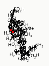 CSCC[C@H](NC(=O)[C@H](C)NC(=O)[C@H](CCCNC(=N)N)NC(=O)[C@H](CCC(=O)O)NC(=O)[C@@H]1CCCN1C(=O)[C@@H]1CCCN1C(=O)[C@H](CCC(N)=O)NC(=O)[C@H](CCC(N)=O)NC(=O)[C@H](CCC(=O)O)NC(=O)CNC(=O)CNC(=O)CN)C(=O)N[C@@H](CCCNC(=N)N)C(=O)N[C@@H](CCC(N)=O)C(=O)N[C@@H](CCC(N)=O)C(=O)N[C@@H](Cc1c[nH]cn1)C(=O)N[C@@H](Cc1ccc(O)cc1)C(=O)NCC(=O)NCC(=O)NCC(=O)O